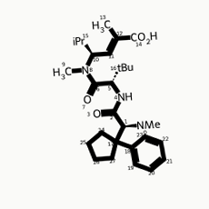 CN[C@H](C(=O)N[C@H](C(=O)N(C)[C@H](C=C(C)C(=O)O)C(C)C)C(C)(C)C)C1(c2ccccc2)CCCC1